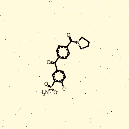 NS(=O)(=O)c1cc(C(=O)c2ccc(C(=O)N3CCCC3)cc2)ccc1Cl